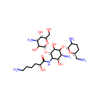 NCCCC[C@H](O)C(=O)NC1[C@H](O[C@H]2OC(CO)[C@@H](O)[C@H](N)C2O)C(O)C(O[C@H]2O[C@H](CN)CCC2N)[C@@H](N)[C@H]1O